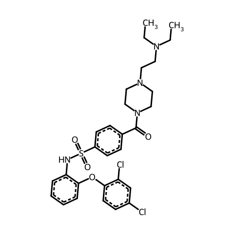 CCN(CC)CCN1CCN(C(=O)c2ccc(S(=O)(=O)Nc3ccccc3Oc3ccc(Cl)cc3Cl)cc2)CC1